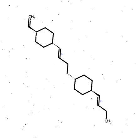 C=C[C@H]1CC[C@H](/C=C/CC[C@H]2CC[C@H](/C=C/CC)CC2)CC1